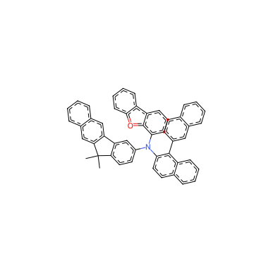 CC1(C)c2ccc(N(c3ccc4ccccc4c3-c3ccc4ccccc4c3)c3cccc4c3oc3ccccc34)cc2-c2cc3ccccc3cc21